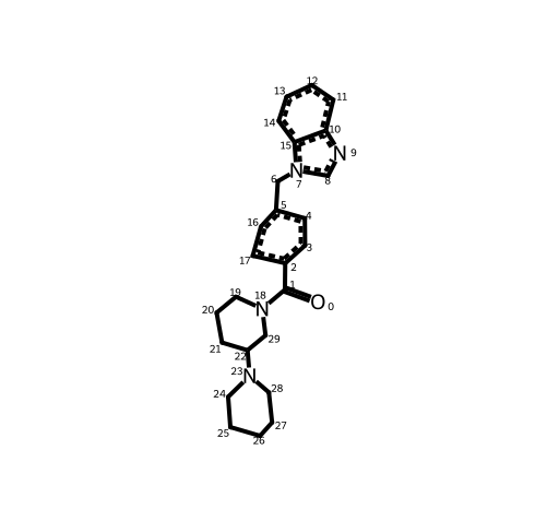 O=C(c1ccc(Cn2cnc3ccccc32)cc1)N1CCCC(N2CCCCC2)C1